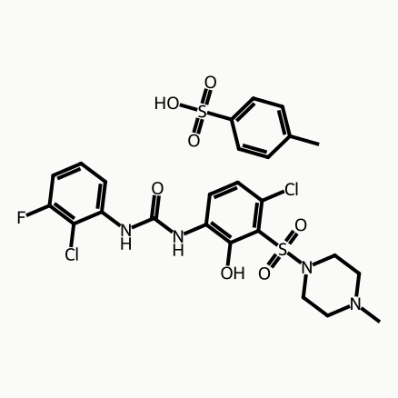 CN1CCN(S(=O)(=O)c2c(Cl)ccc(NC(=O)Nc3cccc(F)c3Cl)c2O)CC1.Cc1ccc(S(=O)(=O)O)cc1